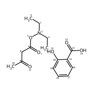 CCN(CC)OC(=O)CC(C)=O.O=C(O)c1ccccc1O